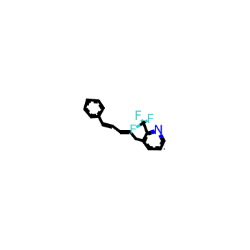 FC(F)(F)c1nc[c]cc1CC=CC=Cc1ccccc1